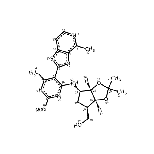 CSc1nc(C)c(-c2nc3c(C)nccc3s2)c(N[C@@H]2C[C@H](CO)[C@H]3OC(C)(C)O[C@H]32)n1